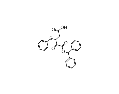 O=C(O)CC(Sc1ccccc1)C(=O)C(=O)OC(c1ccccc1)c1ccccc1